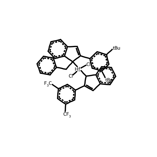 CC(C)(C)c1cc(C2=Cc3ccccc3[C]2(Cc2ccccc2)[Hf]([Cl])([Cl])[CH]2C(c3cc(C(F)(F)F)cc(C(F)(F)F)c3)=Cc3ccccc32)cc(C(C)(C)C)c1